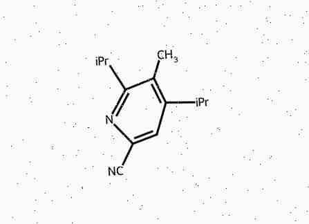 Cc1c(C(C)C)cc(C#N)nc1C(C)C